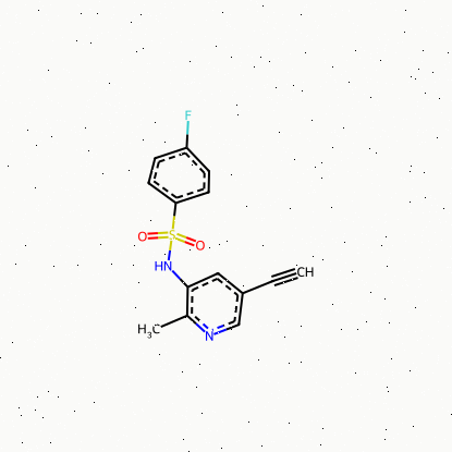 C#Cc1cnc(C)c(NS(=O)(=O)c2ccc(F)cc2)c1